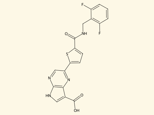 O=C(NCc1c(F)cccc1F)c1ccc(-c2cnc3[nH]cc(C(=O)O)c3n2)s1